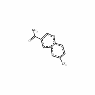 NC(=O)c1cnc2ccc(C(F)(F)F)cc2c1